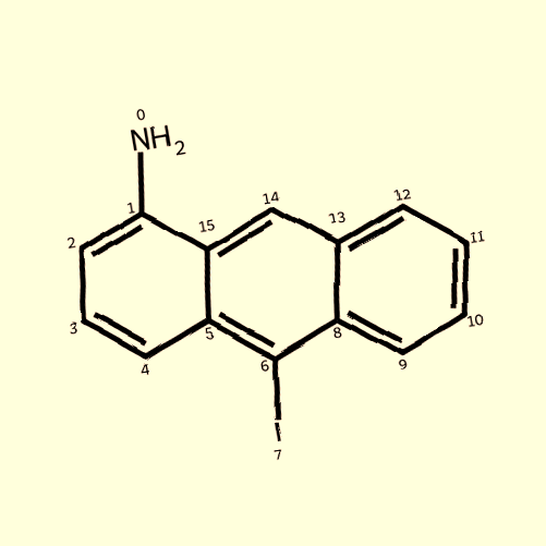 Nc1cccc2c(I)c3ccccc3cc12